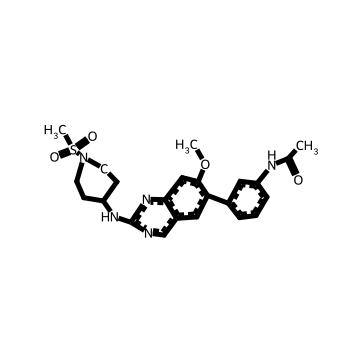 COc1cc2nc(NC3CCN(S(C)(=O)=O)CC3)ncc2cc1-c1cccc(NC(C)=O)c1